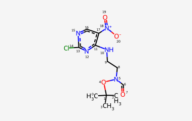 CC(C)(C)ON(C=O)CCNc1nc(Cl)ncc1[N+](=O)[O-]